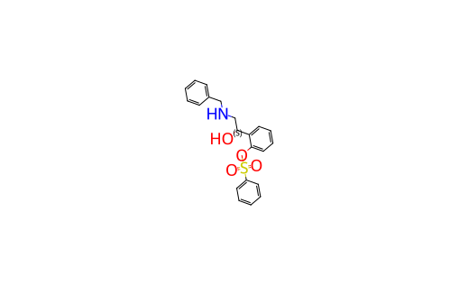 O=S(=O)(Oc1ccccc1[C@H](O)CNCc1ccccc1)c1ccccc1